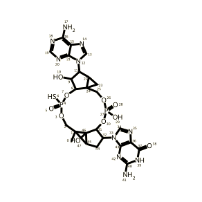 CC12COP(=O)(S)OC3C(O)C(n4cnc5c(N)ncnc54)C4CC43COP(=O)(O)OC3C(n4cnc5c(=O)[nH]c(N)nc54)CC1C32O